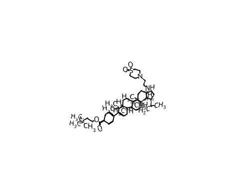 C=C(C)[C@@H]1CC[C@]2(NCCN3CCS(=O)(=O)CC3)CC[C@]3(C)[C@H](CC[C@@H]4[C@@]5(C)CC=C(C6=CCC(C(=O)OCC[Si](C)(C)C)CC6)C(C)(C)[C@@H]5CC[C@]43C)[C@@H]12